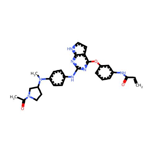 C=CC(=O)Nc1cccc(Oc2nc(Nc3ccc(N(C)C4CCN(C(C)=O)C4)cc3)nc3[nH]ccc23)c1